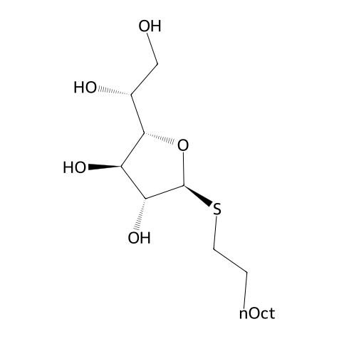 CCCCCCCCCCS[C@@H]1O[C@@H]([C@H](O)CO)[C@H](O)[C@H]1O